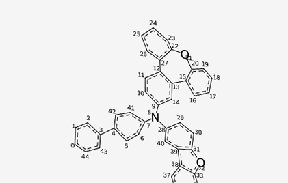 c1ccc(-c2ccc(N(c3ccc4c(c3)-c3ccccc3Oc3ccccc3-4)c3ccc4oc5ccccc5c4c3)cc2)cc1